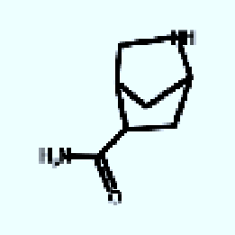 NC(=O)C1CC2CC1CN2